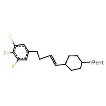 CCCCCC1CCC(C=CCCc2cc(F)c(F)c(F)c2)CC1